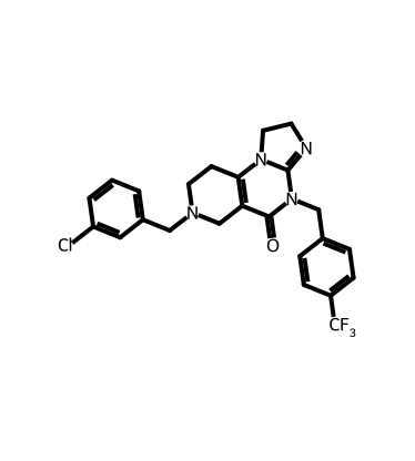 O=C1C2=C(CCN(Cc3cccc(Cl)c3)C2)N2CCN=C2N1Cc1ccc(C(F)(F)F)cc1